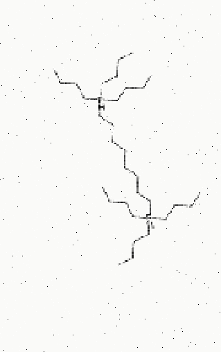 CCCC[PH](CCCC)(CCCC)CCCCCCCC[PH](CCCC)(CCCC)CCCC